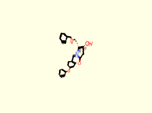 O=C1C[C@@H](O)[C@@H](COCc2ccccc2)N1Cc1ccc(Oc2ccccc2)cc1